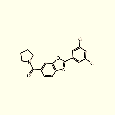 O=C(c1ccc2nc(-c3cc(Cl)cc(Cl)c3)oc2c1)N1CCCC1